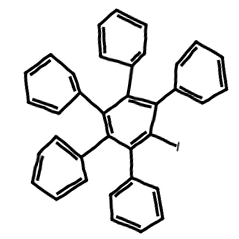 Ic1c(-c2ccccc2)c(-c2ccccc2)c(-c2ccccc2)c(-c2ccccc2)c1-c1ccccc1